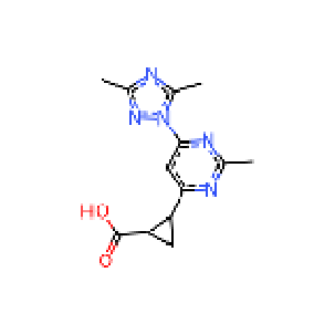 Cc1nc(C2CC2C(=O)O)cc(-n2nc(C)nc2C)n1